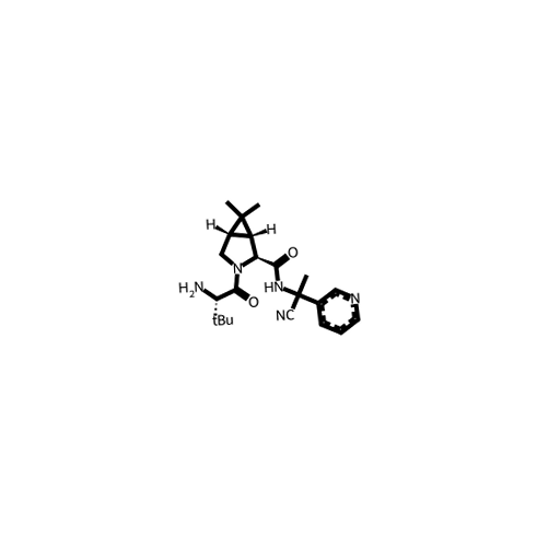 CC(C#N)(NC(=O)[C@@H]1[C@@H]2[C@H](CN1C(=O)[C@@H](N)C(C)(C)C)C2(C)C)c1cccnc1